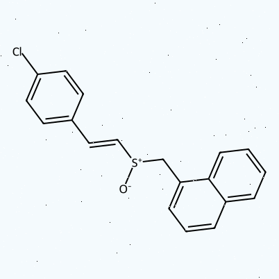 [O-][S+](C=Cc1ccc(Cl)cc1)Cc1cccc2ccccc12